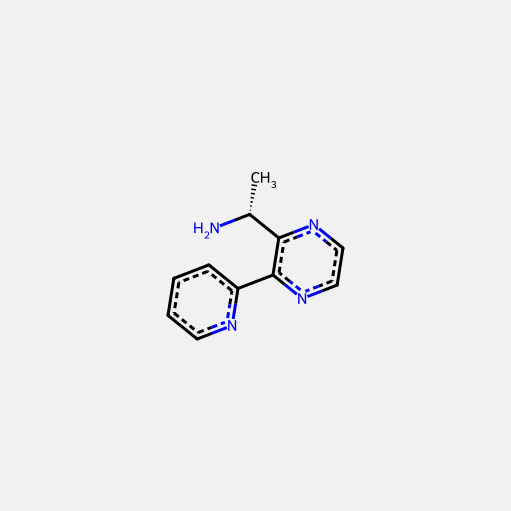 C[C@@H](N)c1nccnc1-c1ccccn1